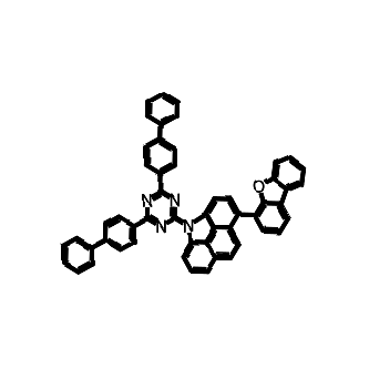 c1ccc(-c2ccc(-c3nc(-c4ccc(-c5ccccc5)cc4)nc(-n4c5cccc6ccc7c(-c8cccc9c8oc8ccccc89)ccc4c7c65)n3)cc2)cc1